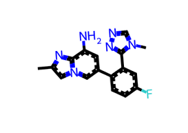 Cc1cn2cc(-c3ccc(F)cc3-c3nncn3C)cc(N)c2n1